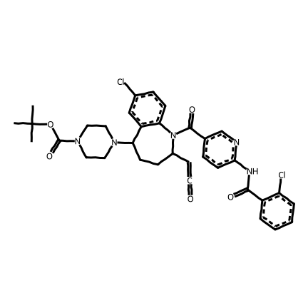 CC(C)(C)OC(=O)N1CCN(C2CCC(C=C=O)N(C(=O)c3ccc(NC(=O)c4ccccc4Cl)nc3)c3ccc(Cl)cc32)CC1